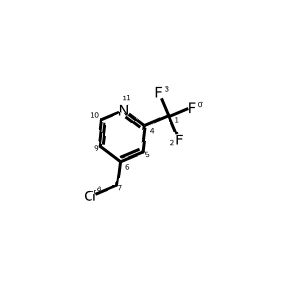 FC(F)(F)c1cc(CCl)ccn1